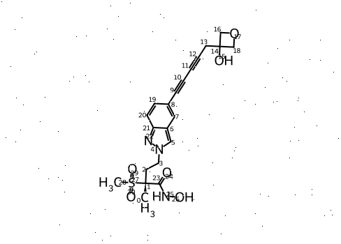 C[C@@](CCn1cc2cc(C#CC#CCC3(O)COC3)ccc2n1)(C(=O)NO)S(C)(=O)=O